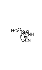 CC1(O)CCCC(c2ccn(-c3cc(-c4c(F)cccc4C#N)nc4c3C(=O)NC4)n2)C1